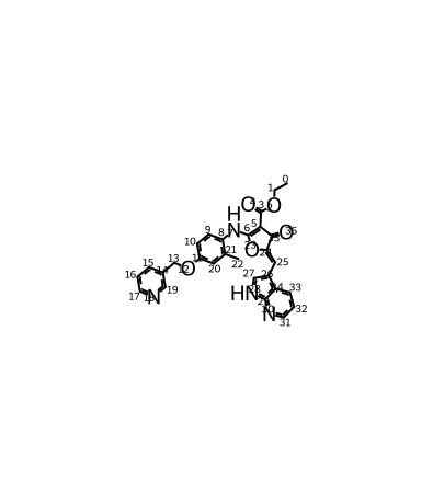 CCOC(=O)C1=C(Nc2ccc(OCc3cccnc3)cc2C)O/C(=C\c2c[nH]c3ncccc23)C1=O